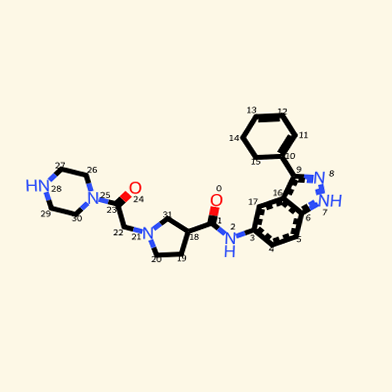 O=C(Nc1ccc2[nH]nc(C3=CC=CCC3)c2c1)C1CCN(CC(=O)N2CCNCC2)C1